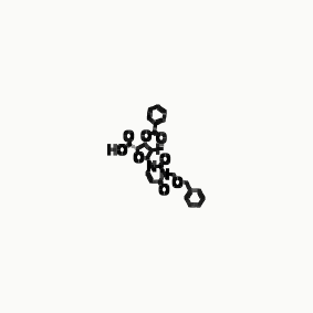 O=C(O[C@@H]1C(F)[C@H](n2ccc(=O)n(COCc3ccccc3)c2=O)O[C@@H]1C(=O)O)c1ccccc1